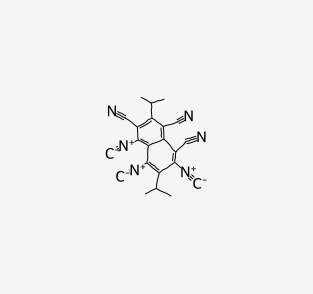 [C-]#[N+]c1c(C(C)C)c([N+]#[C-])c2c([N+]#[C-])c(C#N)c(C(C)C)c(C#N)c2c1C#N